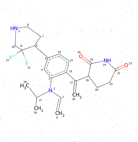 C=CN(c1cc(C2CCNCC2(F)F)ccc1C(=C)C1CCC(=O)NC1=O)C(C)C